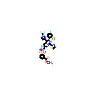 COC(=O)c1cccc(S(=O)(=O)NCC2(F)CC3=C(c4ccn(C(F)F)n4)[C@H](c4ccc(F)cc4Cl)N=C(c4nccs4)N3C2)c1